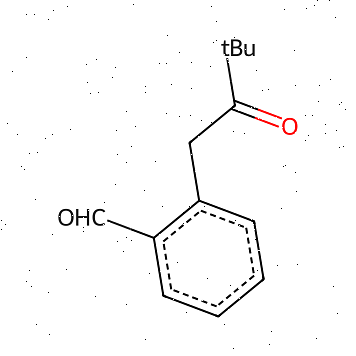 CC(C)(C)C(=O)Cc1ccccc1C=O